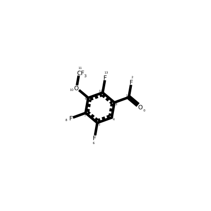 O=C(F)c1cc(F)c(F)c(OC(F)(F)F)c1F